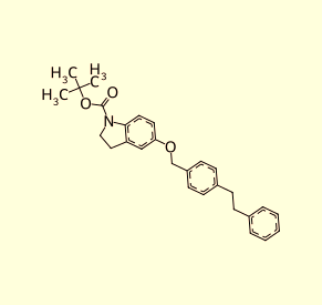 CC(C)(C)OC(=O)N1CCc2cc(OCc3ccc(CCc4ccccc4)cc3)ccc21